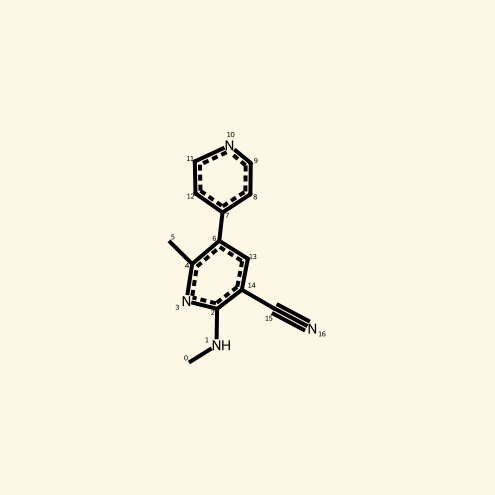 CNc1nc(C)c(-c2ccncc2)cc1C#N